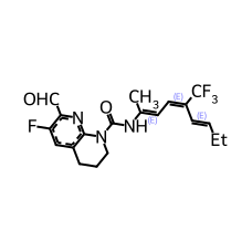 CC/C=C/C(=C\C=C(/C)NC(=O)N1CCCc2cc(F)c(C=O)nc21)C(F)(F)F